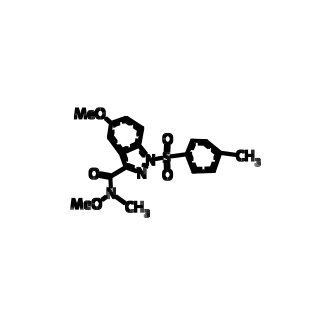 COc1ccc2c(c1)c(C(=O)N(C)OC)nn2S(=O)(=O)c1ccc(C)cc1